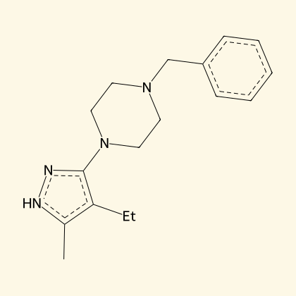 CCc1c(N2CCN(Cc3ccccc3)CC2)n[nH]c1C